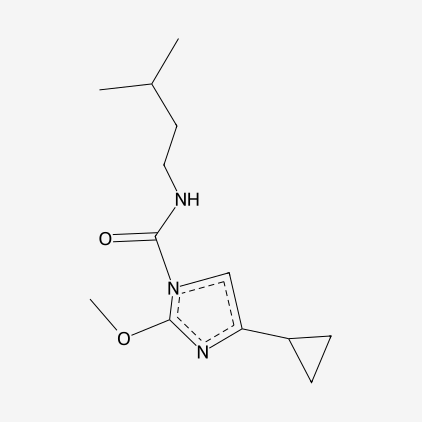 COc1nc(C2CC2)cn1C(=O)NCCC(C)C